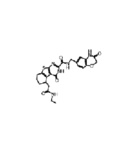 CCNC(=O)CC1CCCc2sc3nc(C(=O)NCc4ccc5c(c4)NC(=O)CO5)[nH]c(=O)c3c21